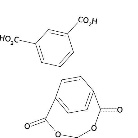 O=C(O)c1cccc(C(=O)O)c1.O=C1OCOC(=O)c2ccc1cc2